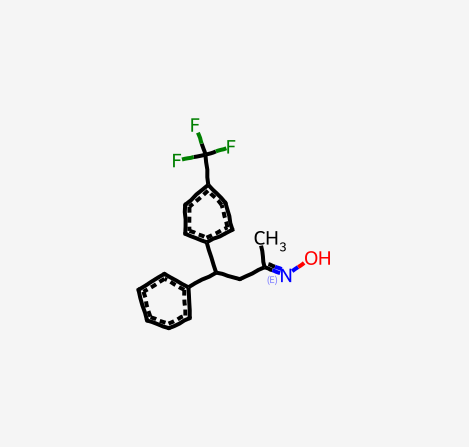 C/C(CC(c1ccccc1)c1ccc(C(F)(F)F)cc1)=N\O